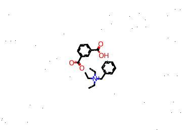 CC[N+](CC)(CC)Cc1ccccc1.O=C([O-])c1cccc(C(=O)O)c1